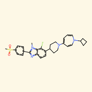 Cn1c(-c2ccc(S(C)(=O)=O)cc2)nc2ccc(C3CCN(C4=CC=CN(C5CCC5)C=C4)CC3)c(F)c21